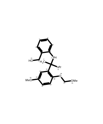 CCCC(C)(Pc1ccccc1CO)c1cc(OC)ccc1OCOC